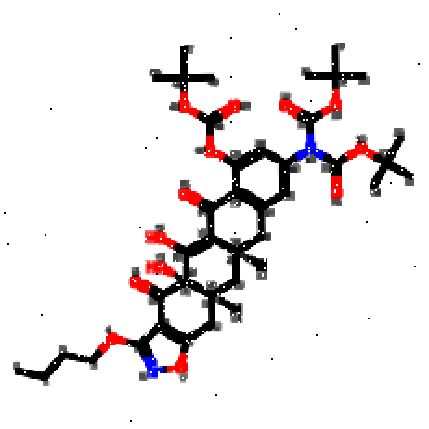 CCCCOc1noc2c1C(=O)[C@@]1(O)C(O)=C3C(=O)c4c(cc(N(C(=O)OC(C)(C)C)C(=O)OC(C)(C)C)cc4OC(=O)OC(C)(C)C)C[C@H]3C[C@H]1C2